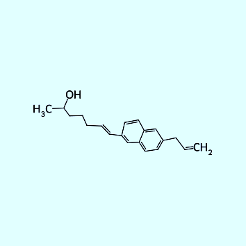 C=CCc1ccc2cc(C=CCCCC(C)O)ccc2c1